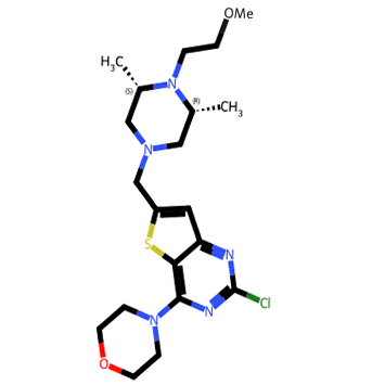 COCCN1[C@H](C)CN(Cc2cc3nc(Cl)nc(N4CCOCC4)c3s2)C[C@@H]1C